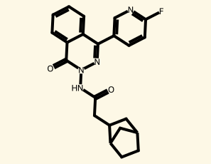 O=C(CC1CC2CCC1C2)Nn1nc(-c2ccc(F)nc2)c2ccccc2c1=O